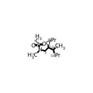 CC(C)OC(CN(C)S(C)(=O)=O)C(C)C(C)C